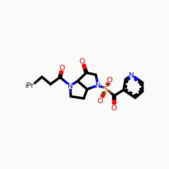 CC(C)C[CH]C(=O)N1CCC2C1C(=O)CN2S(=O)(=O)C(=O)c1cccnc1